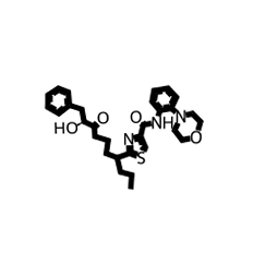 CCCC(CCCC(=O)[C@H](O)Cc1ccccc1)c1nc(C(=O)Nc2ccccc2N2CCOCC2)cs1